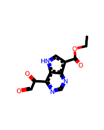 CCOC(=O)c1c[nH]c2c(C(=O)C=O)ncnc12